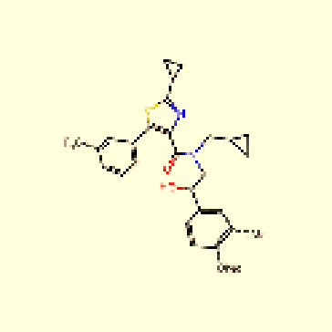 COc1ccc(C(O)CN(CC2CC2)C(=O)c2nc(C3CC3)sc2-c2cccc(C(F)(F)F)c2)cc1OC